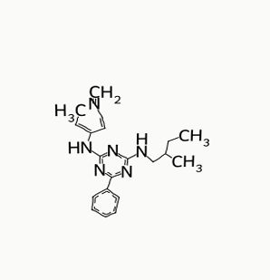 C=N/C=C\C(=C/C)Nc1nc(NCC(C)CC)nc(-c2ccccc2)n1